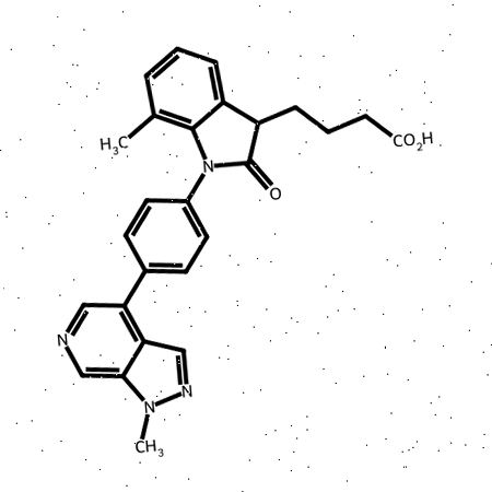 Cc1cccc2c1N(c1ccc(-c3cncc4c3cnn4C)cc1)C(=O)C2CCCC(=O)O